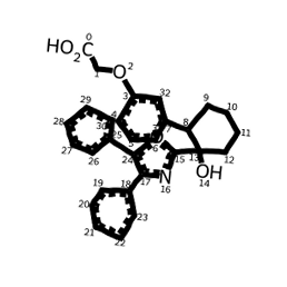 O=C(O)COc1cccc(C2CCCCC2(O)c2nc(-c3ccccc3)c(-c3ccccc3)o2)c1